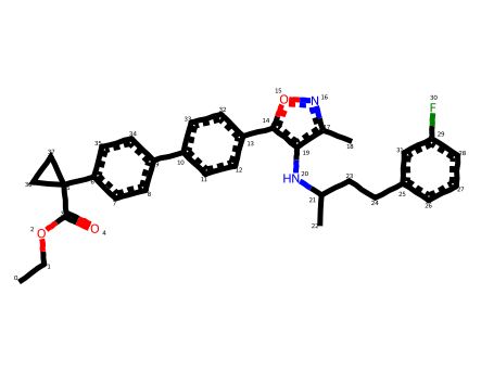 CCOC(=O)C1(c2ccc(-c3ccc(-c4onc(C)c4NC(C)CCc4cccc(F)c4)cc3)cc2)CC1